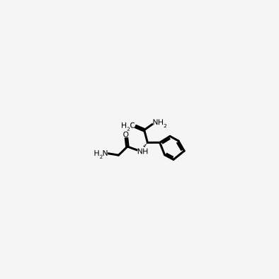 C=C(N)[C@@H](NC(=O)CN)c1ccccc1